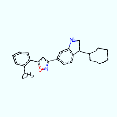 Cc1ccccc1-c1cc(-c2ccc3c(c2)N=CC3C2CCCCC2)no1